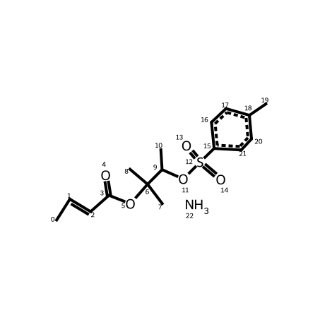 CC=CC(=O)OC(C)(C)C(C)OS(=O)(=O)c1ccc(C)cc1.N